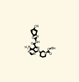 CC(C)(C)OC(=O)N1CCCC(n2nc(C(=O)Nc3nc4cc(C#N)ccc4o3)c3c(N)ncnc32)C1